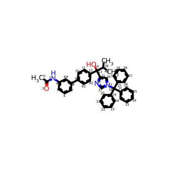 CC(=O)Nc1cccc(-c2ccc(C(O)(c3cn(C(c4ccccc4)(c4ccccc4)c4ccccc4)cn3)C(C)C)cc2)c1